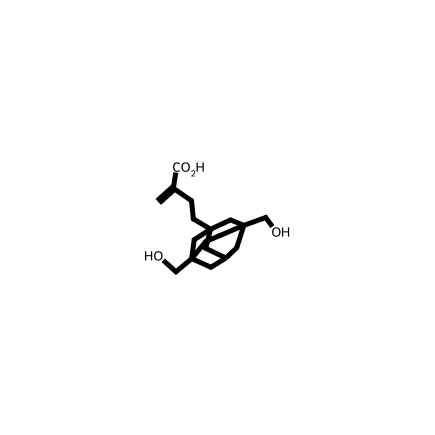 C=C(CCC12CC3CC(CO)(CC(CO)(C3)C1)C2)C(=O)O